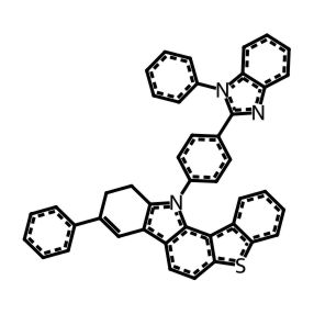 C1=C(c2ccccc2)CCc2c1c1ccc3sc4ccccc4c3c1n2-c1ccc(-c2nc3ccccc3n2-c2ccccc2)cc1